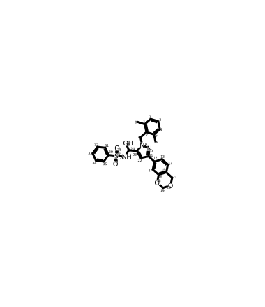 Cc1cccc(C)c1Cn1nc(-c2ccc3c(c2)OCOC3)cc1C(O)NS(=O)(=O)c1ccccc1